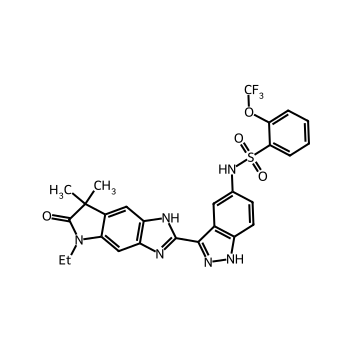 CCN1C(=O)C(C)(C)c2cc3[nH]c(-c4n[nH]c5ccc(NS(=O)(=O)c6ccccc6OC(F)(F)F)cc45)nc3cc21